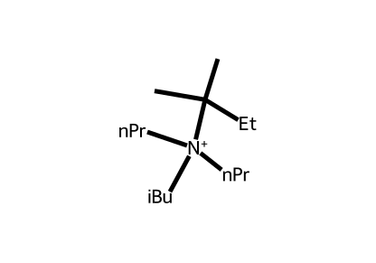 CCC[N+](CCC)(C(C)CC)C(C)(C)CC